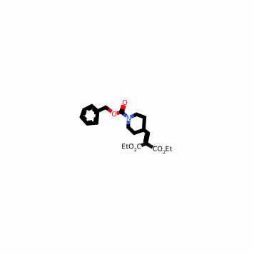 CCOC(=O)C(=CC1CCN(C(=O)OCc2ccccc2)CC1)C(=O)OCC